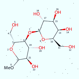 COC1O[C@H](CO)[C@@H](O[C@@H]2O[C@H](CO)[C@H](O)[C@H](O)[C@H]2O)[C@H](O)[C@H]1O